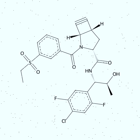 CCS(=O)(=O)c1cccc(C(=O)N2[C@@H](C(=O)N[C@@H](c3cc(F)c(Cl)cc3F)[C@H](C)O)C[C@H]3C#C[C@H]32)c1